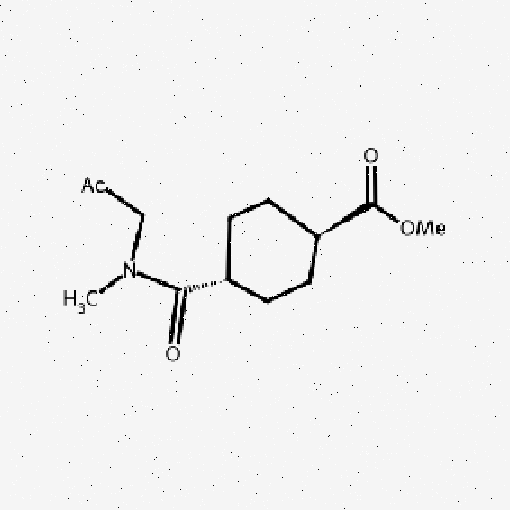 COC(=O)[C@H]1CC[C@H](C(=O)N(C)CC(C)=O)CC1